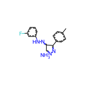 Cc1ccc(C2=NN=CC2=NNc2cccc(F)c2)cc1.N